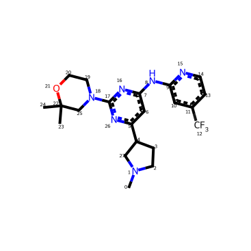 CN1CCC(c2cc(Nc3cc(C(F)(F)F)ccn3)nc(N3CCOC(C)(C)C3)n2)C1